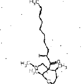 CCCCCCCCC(I)C(=O)C1(COC)C(C)CCCC1C